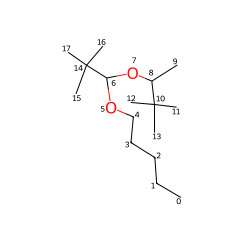 CCCCCOC(OC(C)C(C)(C)C)C(C)(C)C